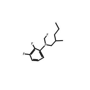 CCCC(C)CP(CF)c1cccc(F)c1F